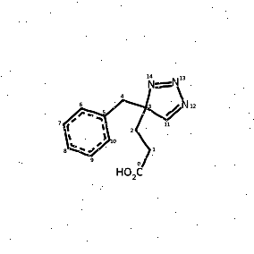 O=C(O)CCC1(Cc2ccccc2)C=NN=N1